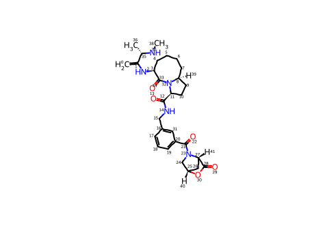 C=C(N[C@H]1CCCC[C@H]2CC[C@@H](C(=O)NCc3cccc(C(=O)N4C[C@@H]5C[C@H]4C(=O)O5)c3)N2C1=O)[C@H](C)NC